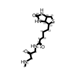 CNCC(=O)CNC(=O)CCCCC1SCC2NC(=O)NC21